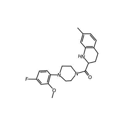 COc1cc(F)ccc1N1CCN(C(=O)C2CCc3ccc(C)cc3N2)CC1